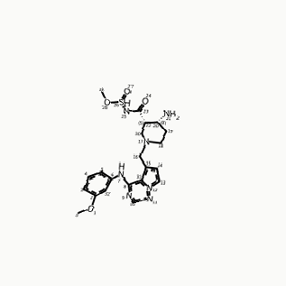 COc1cccc(Nc2ncnn3ccc(CN4CC[C@@H](N)[C@@H](C(=O)N=[SH](=O)OC)C4)c23)c1